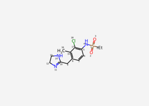 CCS(=O)(=O)Nc1ccc(CC2=NCCN2)c(C)c1Cl